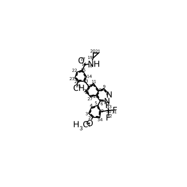 COc1ccc(-c2nncc3cc(-c4cc(C(=O)NC5CC5)ccc4C)ccc23)c(C(F)(F)F)c1